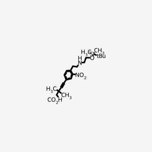 CC(C)(C#Cc1ccc(CCNCCO[Si](C)(C)C(C)(C)C)c([N+](=O)[O-])c1)CC(=O)O